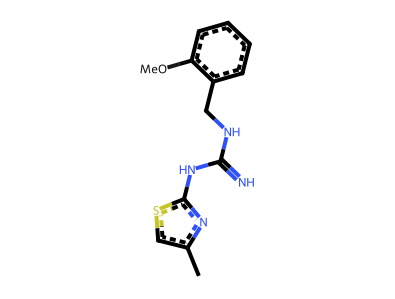 COc1ccccc1CNC(=N)Nc1nc(C)cs1